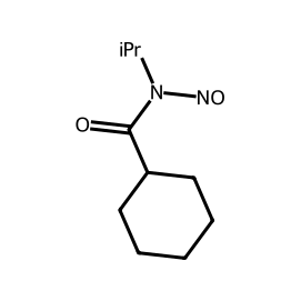 CC(C)N(N=O)C(=O)C1CCCCC1